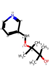 CC(C)(O)C(C)(C)OBc1cccnc1